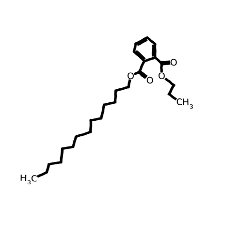 CCCCCCCCCCCCCCOC(=O)c1ccccc1C(=O)OCCC